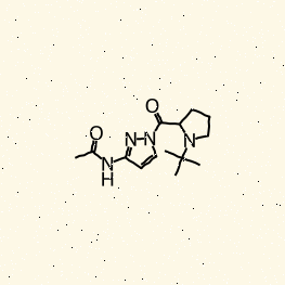 CC(=O)Nc1ccn(C(=O)C2CCCN2C(C)(C)C)n1